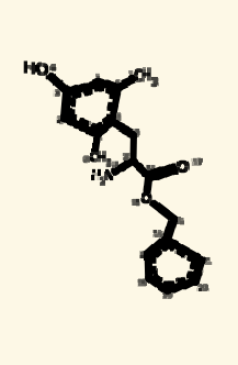 Cc1cc(O)cc(C)c1CC(N)C(=O)OCc1ccccc1